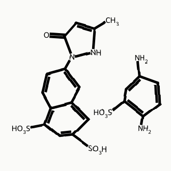 Cc1cc(=O)n(-c2ccc3c(S(=O)(=O)O)cc(S(=O)(=O)O)cc3c2)[nH]1.Nc1ccc(N)c(S(=O)(=O)O)c1